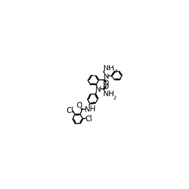 NCN(C(=O)c1ccccc1N(C(N)=O)c1ccc(NC(=O)c2c(Cl)cccc2Cl)cc1)c1ccccc1